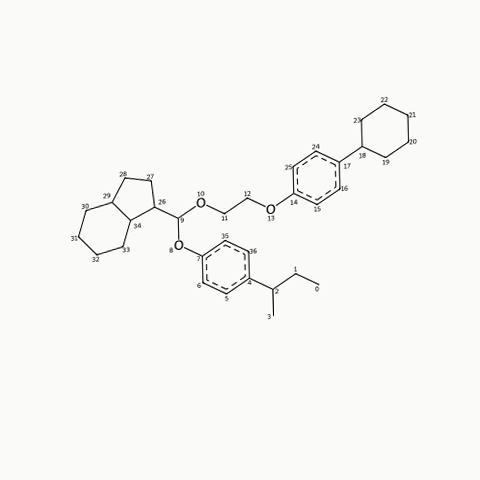 CCC(C)c1ccc(OC(OCCOc2ccc(C3CCCCC3)cc2)C2CCC3CCCCC32)cc1